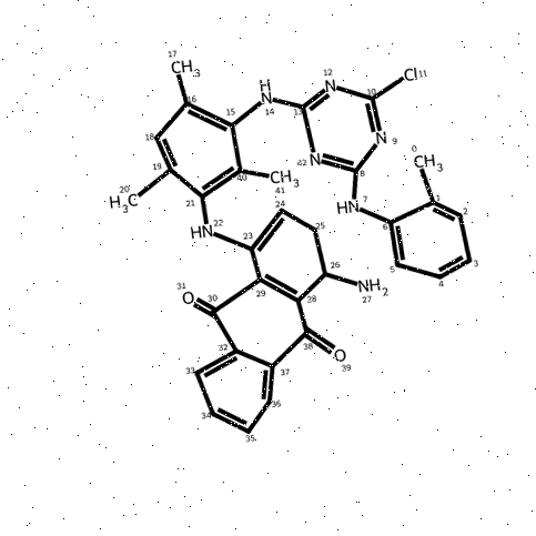 Cc1ccccc1Nc1nc(Cl)nc(Nc2c(C)cc(C)c(NC3=CCC(N)C4=C3C(=O)c3ccccc3C4=O)c2C)n1